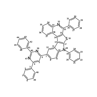 c1ccc(-c2cc(-c3ccc4c(c3)c3c5c(sc3n4-c3ccccc3)c(-c3ccccc3)nc3ccccc35)nc(-c3ccccc3)n2)cc1